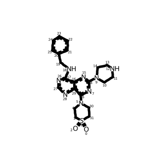 O=S1(=O)CCN(c2nc(N3CCNCC3)nc3c(NCc4ccccc4)ncnc23)CC1